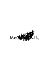 COc1ccn2c(C(O)c3ccc4c(c3)COc3cc(F)ccc3C4=C(C)C#N)c(C(C)C)nc2n1